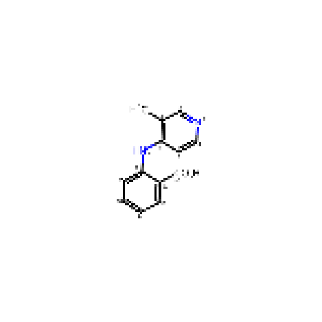 Cc1cnccc1Nc1ccccc1C(=O)O